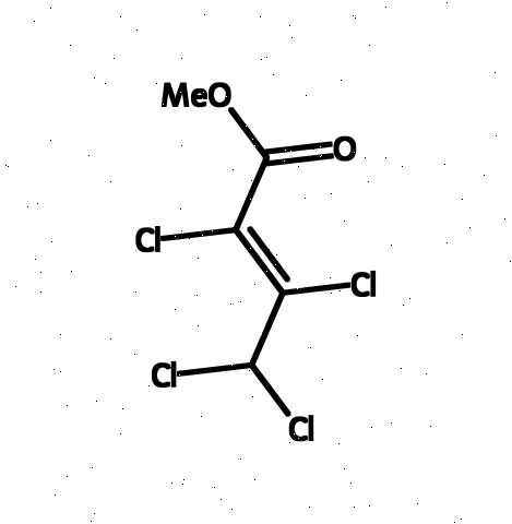 COC(=O)C(Cl)=C(Cl)C(Cl)Cl